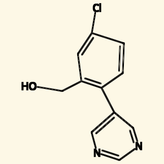 OCc1cc(Cl)ccc1-c1cncnc1